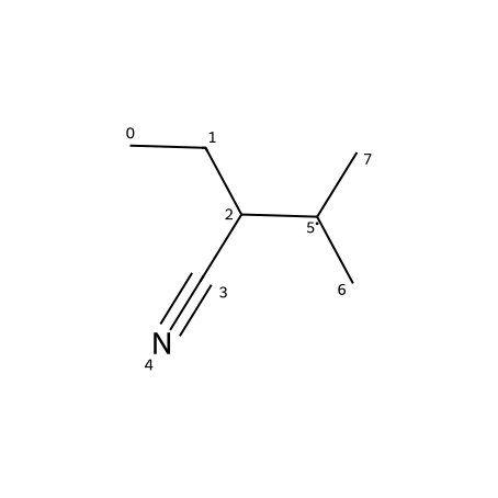 CCC(C#N)[C](C)C